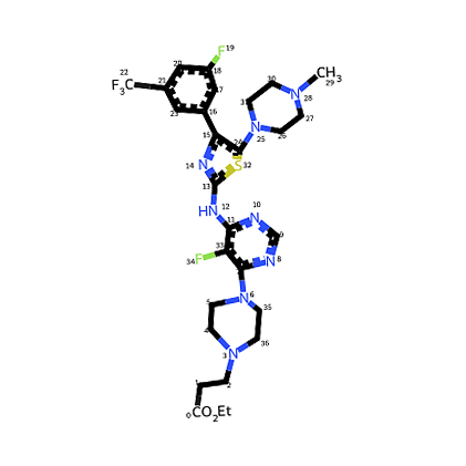 CCOC(=O)CCN1CCN(c2ncnc(Nc3nc(-c4cc(F)cc(C(F)(F)F)c4)c(N4CCN(C)CC4)s3)c2F)CC1